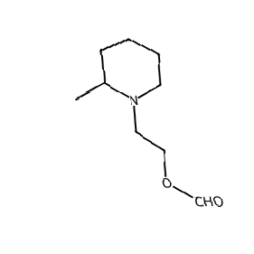 CC1CCCCN1CCOC=O